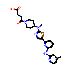 Cc1ccnc(Nc2cccc(-c3cnc(N(C)C4CCN(C(=O)CCC(=O)O)CC4)s3)n2)c1